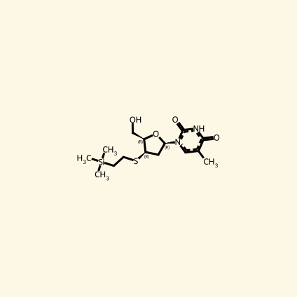 Cc1cn([C@H]2C[C@@H](SCC[Si](C)(C)C)[C@@H](CO)O2)c(=O)[nH]c1=O